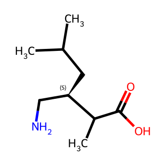 CC(C)C[C@H](CN)C(C)C(=O)O